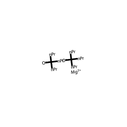 CCCC([O-])(CCC)CCC.CCCC([O-])(CCC)CCC.[Mg+2]